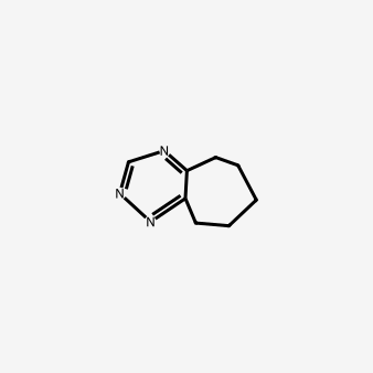 c1nnc2c(n1)CCCCC2